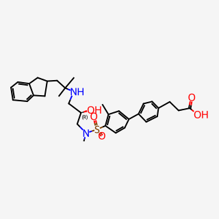 Cc1cc(-c2ccc(CCC(=O)O)cc2)ccc1S(=O)(=O)N(C)C[C@H](O)CNC(C)(C)CC1Cc2ccccc2C1